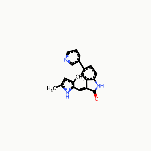 Cc1cc(C)c(C=C2C(=O)Nc3ccc(-c4cccnc4)cc32)[nH]1